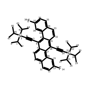 CC(C)[Si](C#Cc1c2ccc3ccc(F)cc3c2c(C#C[Si](C(C)C)(C(C)C)C(C)C)c2ccc3ccc(F)cc3c12)(C(C)C)C(C)C